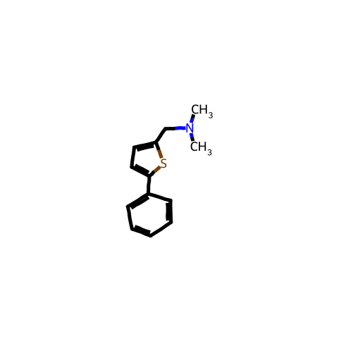 CN(C)Cc1ccc(-c2ccccc2)s1